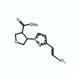 COC(=O)C1COCC1n1ccc(C=C[N+](=O)[O-])n1